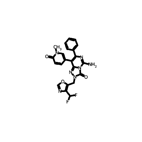 Cn1cc(-c2c(-c3ccccc3)nc(N)n3c(=O)n(Cc4ocnc4C(F)F)nc23)ccc1=O